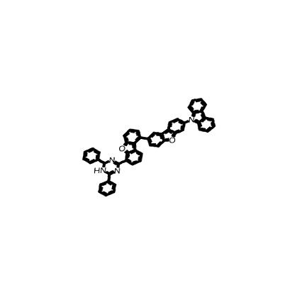 c1ccc(C2=NC(c3cccc4c3oc3cccc(-c5ccc6oc7cc(-n8c9ccccc9c9ccccc98)ccc7c6c5)c34)=NC(c3ccccc3)N2)cc1